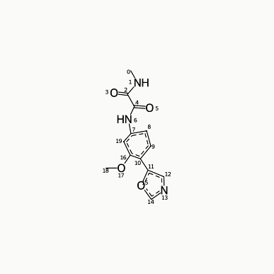 CNC(=O)C(=O)Nc1ccc(-c2cnco2)c(OC)c1